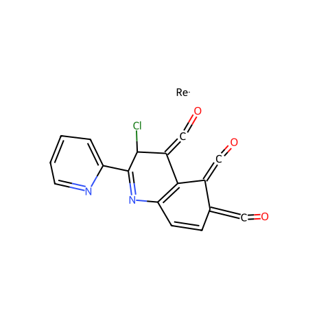 O=C=C1c2c(ccc(=C=O)c2=C=O)N=C(c2ccccn2)C1Cl.[Re]